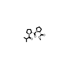 COC(=O)[C@H]1CCCN1C(=O)[C@H]1CCCN1C(=O)C(C)C